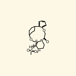 C[C@@H]1CCN2C(=O)COc3ccccc3C3CCC(CC3)OC[C@H]2C1NS(C)(=O)=O